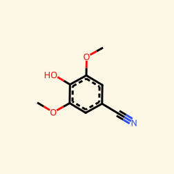 COc1cc(C#N)cc(OC)c1O